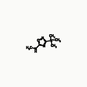 CNc1nc([N+](C)(C)C)no1